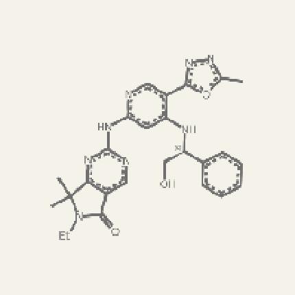 CCN1C(=O)c2cnc(Nc3cc(N[C@H](CO)c4ccccc4)c(-c4nnc(C)o4)cn3)nc2C1(C)C